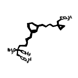 CC(C)(CCCCc1cccc(CCCCC2(CC(=O)O)CC2)c1)CC(=O)O